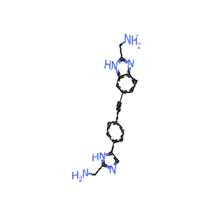 NCc1ncc(-c2ccc(C#Cc3ccc4nc(CN)[nH]c4c3)cc2)[nH]1